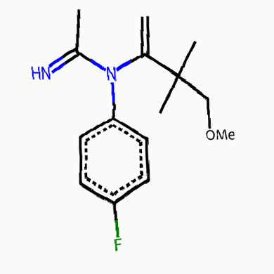 C=C(N(C(C)=N)c1ccc(F)cc1)C(C)(C)COC